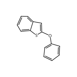 c1ccc(Oc2cc3ccccc3s2)cc1